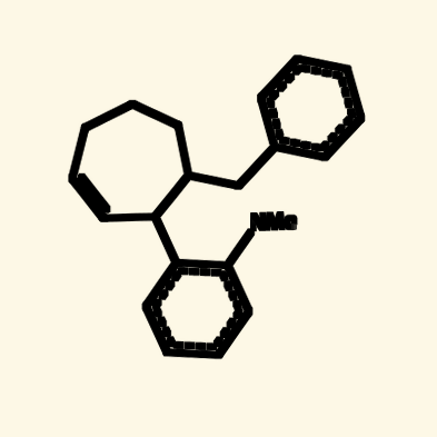 CNc1ccccc1C1C=CCCCC1Cc1ccccc1